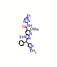 CCn1cnc(NC(=O)c2cc3c(nc2OC)nc(C(c2ccccc2)c2cnn(C)c2)n3CC)n1